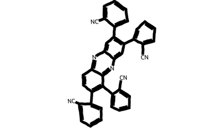 N#Cc1ccccc1-c1cc2nc3ccc(-c4ccccc4C#N)c(-c4ccccc4C#N)c3nc2cc1-c1ccccc1C#N